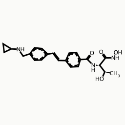 C[C@@H](O)[C@H](NC(=O)c1ccc(/C=C/c2ccc(CNC3CC3)cc2)cc1)C(=O)NO